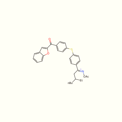 CCCCC(CC)C/C(=N\OC(C)=O)c1ccc(Sc2ccc(C(=O)c3cc4ccccc4o3)cc2)cc1